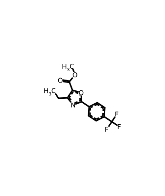 CCc1nc(-c2ccc(C(F)(F)F)cc2)oc1C(=O)OC